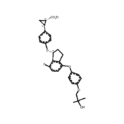 CCOC(=O)[C@H]1C[C@@H]1c1ccc(O[C@@H]2CCc3c(Oc4ccc(OCC(C)(C)O)cc4)ccc(F)c32)cc1